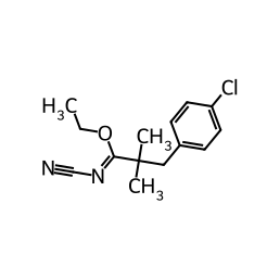 CCO/C(=N\C#N)C(C)(C)Cc1ccc(Cl)cc1